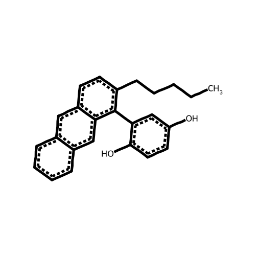 CCCCCc1ccc2cc3ccccc3cc2c1-c1cc(O)ccc1O